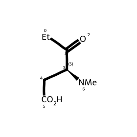 CCC(=O)[C@H](CC(=O)O)NC